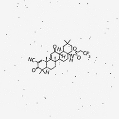 CC1(C)CC[C@]2(NS(=O)(=O)CC(F)(F)F)CC[C@]3(C)[C@H](C(=O)C=C4[C@@]5(C)C=C(C#N)C(=O)C(C)(C)[C@@H]5CC[C@]43C)[C@H]2C1